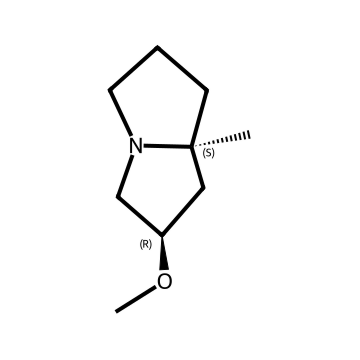 CO[C@H]1CN2CCC[C@@]2(C)C1